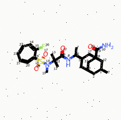 CC1CC2CC(C(C)NC(=O)C(C)(C)N(C)S(=O)(=O)C3=C=CC=CC=C3F)CC(C(N)=O)(C1)C2